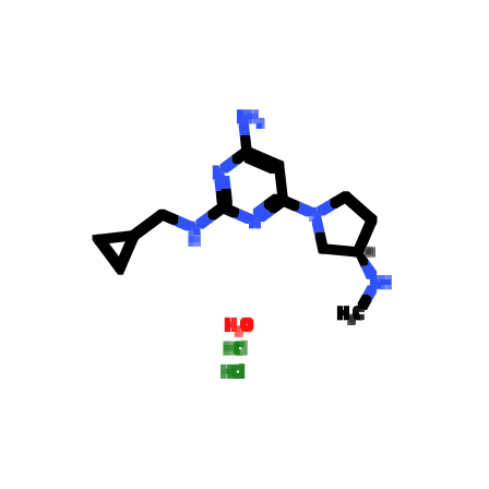 CN[C@@H]1CCN(c2cc(N)nc(NCC3CC3)n2)C1.Cl.Cl.O